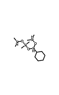 C[SiH](C)O[SiH](O[Si](C)(C)O[SiH](C)C)C1CCCCC1